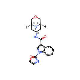 CN1[C@@H]2COC[C@H]1C[C@@H](NC(=O)c1cn(-c3ncco3)c3ccccc13)C2